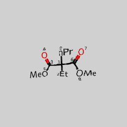 CCCC(CC)(C(=O)OC)C(=O)OC